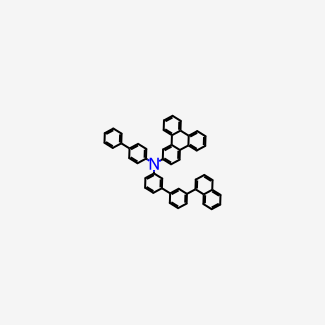 c1ccc(-c2ccc(N(c3cccc(-c4cccc(-c5cccc6ccccc56)c4)c3)c3ccc4c5ccccc5c5ccccc5c4c3)cc2)cc1